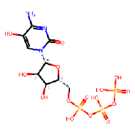 Nc1nc(=O)n([C@@H]2O[C@H](COP(=O)(O)OP(=O)(O)OP(=O)(O)O)[C@@H](O)[C@H]2O)cc1O